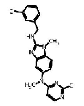 CN(c1ccc2c(c1)nc(NCc1cccc(Cl)c1)n2C)c1ccnc(Cl)n1